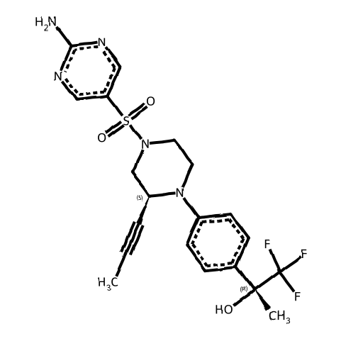 CC#C[C@H]1CN(S(=O)(=O)c2cnc(N)nc2)CCN1c1ccc([C@@](C)(O)C(F)(F)F)cc1